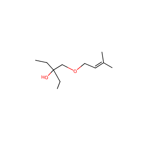 CCC(O)(CC)COCC=C(C)C